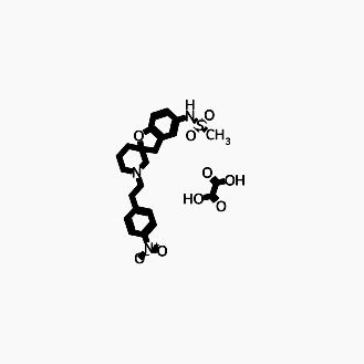 CS(=O)(=O)Nc1ccc2c(c1)CC1(CCCN(CCc3ccc([N+](=O)[O-])cc3)C1)O2.O=C(O)C(=O)O